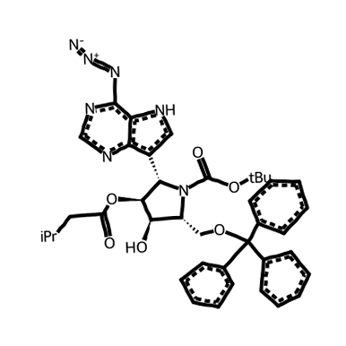 CC(C)CC(=O)O[C@@H]1[C@H](O)[C@@H](COC(c2ccccc2)(c2ccccc2)c2ccccc2)N(C(=O)OC(C)(C)C)[C@H]1c1c[nH]c2c(N=[N+]=[N-])ncnc12